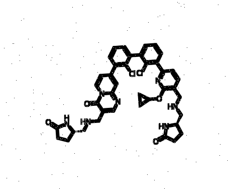 O=C1CC[C@H](CNCc2ccc(-c3cccc(-c4cccc(-c5ccn6c(=O)c(CNC[C@@H]7CCC(=O)N7)cnc6c5)c4Cl)c3Cl)nc2OC2CC2)N1